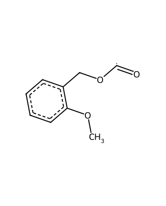 COc1ccccc1CO[C]=O